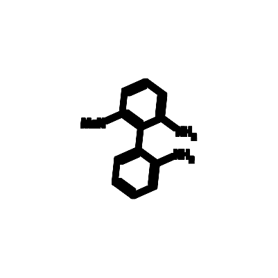 CNc1cccc(N)c1-c1ccccc1N